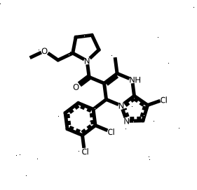 COCC1CCCN1C(=O)C1=C(C)Nc2c(Cl)cnn2C1c1cccc(Cl)c1Cl